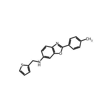 Cc1ccc(-c2nc3ccc(NCc4cccs4)cc3o2)cc1